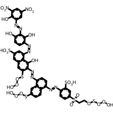 O=[N+]([O-])c1cc(/N=N/c2c(O)ccc(/N=N\c3cc(S(=O)(=O)O)cc4cc(SOOO)c(/N=N/c5ccc(/N=N/c6ccc(S(=O)(=O)CCOSOOO)cc6S(=O)(=O)O)c6ccc(SOOO)cc56)c(O)c34)c2O)c(O)c([N+](=O)[O-])c1